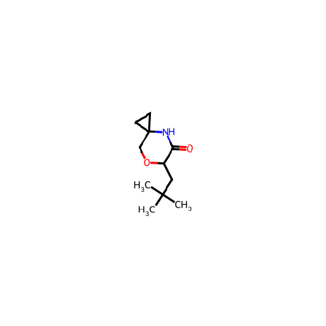 CC(C)(C)CC1OCC2(CC2)NC1=O